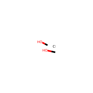 CO.CO.[C]